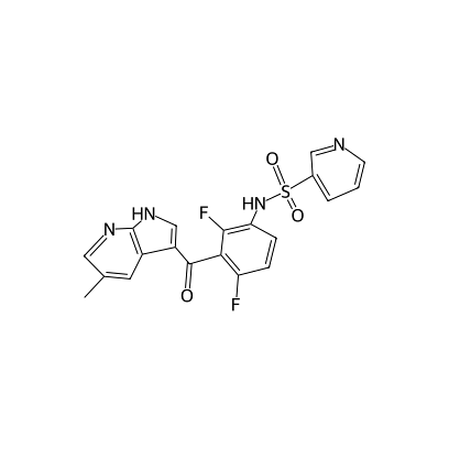 Cc1cnc2[nH]cc(C(=O)c3c(F)ccc(NS(=O)(=O)c4cccnc4)c3F)c2c1